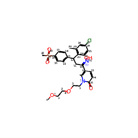 COCCOCCn1cc(/C(CC(c2ccc(S(C)(=O)=O)cc2)c2ccc(Cl)cc2C)=N/O)ccc1=O